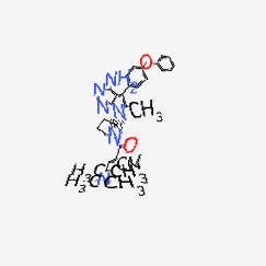 Cc1c(-c2ccc(Oc3ccccc3)cc2)c2c(N)ncnc2n1C[C@H]1CCCN1C(=O)C(C#N)=CC(C)(C)N(C)C